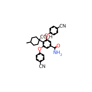 CC1CCC(C(=O)O)(c2c(Oc3ccc(C#N)cc3)cc(C(N)=O)cc2Oc2ccc(C#N)cc2)CC1